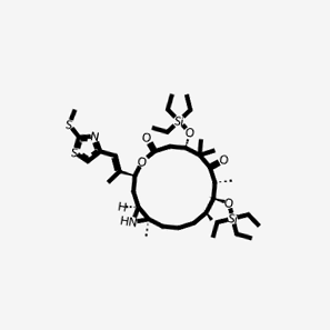 CC[Si](CC)(CC)O[C@H]1[C@@H](C)CCC[C@@]2(C)N[C@H]2C[C@@H](/C(C)=C/c2csc(SC)n2)OC(=O)C[C@H](O[Si](CC)(CC)CC)C(C)(C)C(=O)[C@@H]1C